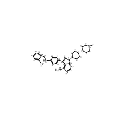 CN1CCN([C@H]2CC[C@@H](n3nc(-c4ccc(NCc5ccccc5Br)cc4)c4c(N)ncnc43)CC2)CC1